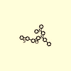 c1ccc(-c2ccc(N(c3cccc(N(c4ccccc4)c4ccccc4)c3)c3ccc4c(c3)oc3ccc(-c5ccc6c(c5)sc5ccccc56)cc34)cc2)cc1